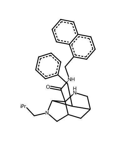 CC(C)CN1CC2CC3CNC2(C(=O)NCc2cccc4ccccc24)C1C3Cc1ccccc1